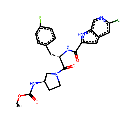 CC(C)(C)OC(=O)N[C@@H]1CCN(C(=O)[C@H](Cc2ccc(F)cc2)NC(=O)c2cc3cc(Cl)ncc3[nH]2)C1